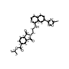 Cc1nc(-c2ccc3ccnc(NCCN4C(=O)c5ccc(C(=O)OC(C)C)cc5C4=O)c3c2)no1